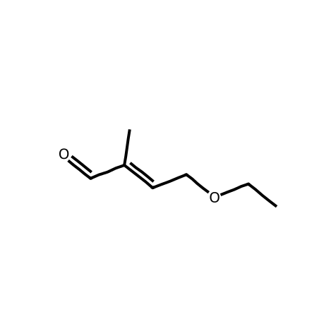 CCOC/C=C(\C)C=O